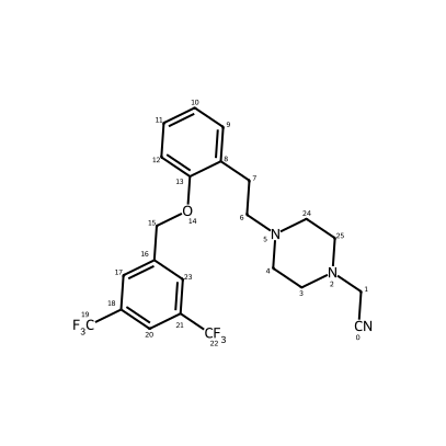 N#CCN1CCN(CCc2ccccc2OCc2cc(C(F)(F)F)cc(C(F)(F)F)c2)CC1